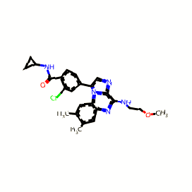 COCCNc1nc2cc(C)c(C)cc2n2c(-c3ccc(C(=O)NC4CC4)c(Cl)c3)cnc12